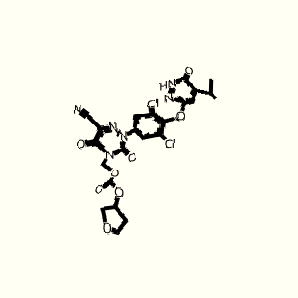 CC(C)c1cc(Oc2c(Cl)cc(-n3nc(C#N)c(=O)n(COC(=O)OC4CCOC4)c3=O)cc2Cl)n[nH]c1=O